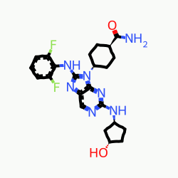 NC(=O)[C@H]1CC[C@H](n2c(Nc3c(F)cccc3F)nc3cnc(N[C@H]4CC[C@H](O)C4)nc32)CC1